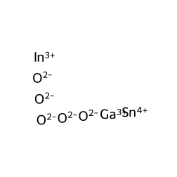 [Ga+3].[In+3].[O-2].[O-2].[O-2].[O-2].[O-2].[Sn+4]